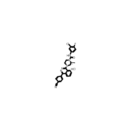 C[C@H]1CN(c2nnc(-c3ccc(C#N)cc3)c3ccccc23)CCN1C(=O)Nc1ccc(F)c(Cl)c1.Cl